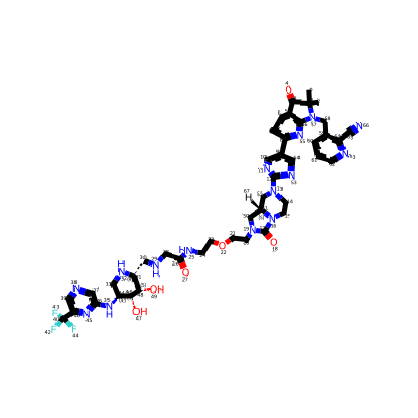 CC1(C)C(=O)c2ccc(-c3cnc(N4CCN5C(=O)N(CCOCCNC(=O)CNC[C@H]6NC[C@H](Nc7cncc(C(F)(F)F)n7)[C@@H](O)[C@H]6O)C[C@@H]5C4)nc3)nc2N1Cc1cccnc1C#N